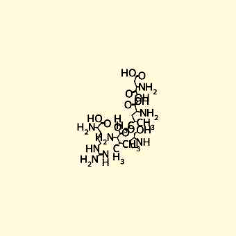 CC(C)C(N)C(=O)O.CC(C)CC(N)C(=O)O.N=C(N)NCCCC(N)C(=O)O.NC(CC(=O)O)C(=O)O.O=C(O)[C@@H]1CCCN1